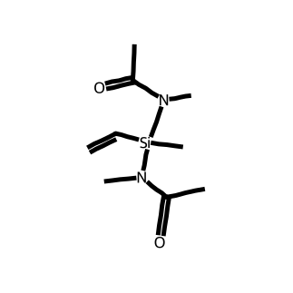 C=C[Si](C)(N(C)C(C)=O)N(C)C(C)=O